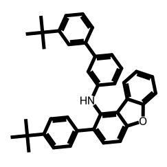 CC(C)(C)c1ccc(-c2ccc3oc4ccccc4c3c2Nc2cccc(-c3cccc(C(C)(C)C)c3)c2)cc1